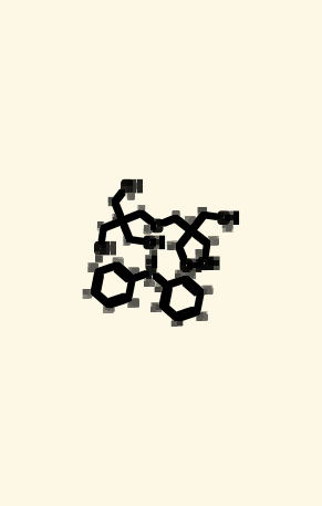 OCC(CO)(CO)COCC(CO)(CO)CO.c1ccc(Pc2ccccc2)cc1